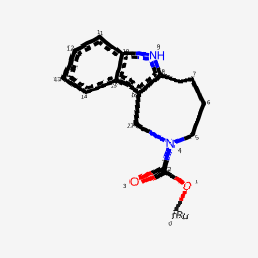 CC(C)(C)OC(=O)N1CCCc2[nH]c3ccccc3c2C1